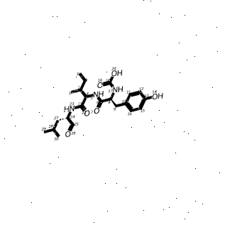 CCC(C)C(NC(=O)[C@H](Cc1ccc(O)cc1)NC(=O)O)C(=O)N[C@H](C=O)CC(C)C